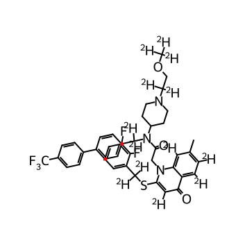 [2H]c1c(C)c([2H])c2c(c1[2H])c(=O)c([2H])c(SC([2H])([2H])c1cccc(F)c1F)n2CC(=O)N(C1CCN(C([2H])([2H])COC([2H])([2H])[2H])CC1)C([2H])([2H])c1ccc(-c2ccc(C(F)(F)F)cc2)cc1